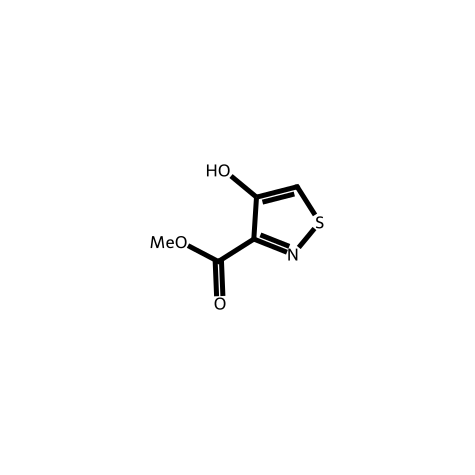 COC(=O)c1nscc1O